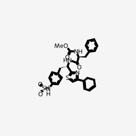 COC(=O)N[C@@H](Cc1ccccc1)C(=O)N[C@@H](Cc1ccc(N[SH](=O)=O)cc1)c1nc(C2=CC=CCC2)cs1